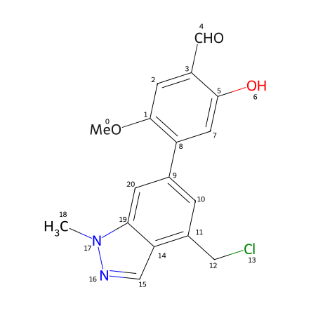 COc1cc(C=O)c(O)cc1-c1cc(CCl)c2cnn(C)c2c1